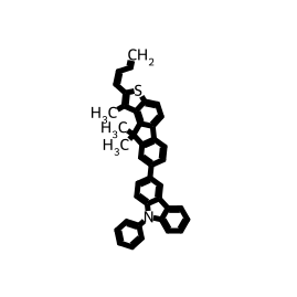 C=C/C=C\c1sc2ccc3c(c2c1C)C(C)(C)c1cc(-c2ccc4c(c2)c2ccccc2n4-c2ccccc2)ccc1-3